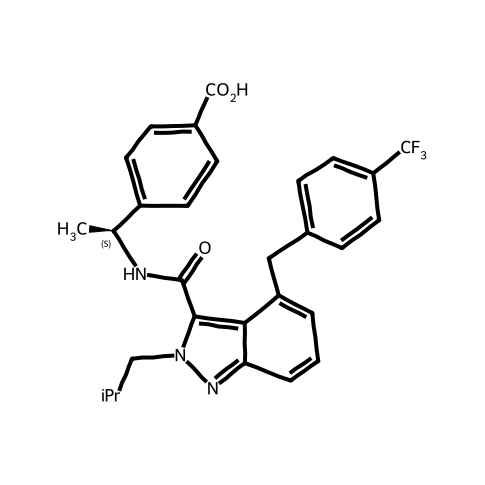 CC(C)Cn1nc2cccc(Cc3ccc(C(F)(F)F)cc3)c2c1C(=O)N[C@@H](C)c1ccc(C(=O)O)cc1